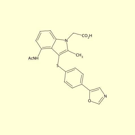 CC(=O)Nc1cccc2c1c(Sc1ccc(-c3cnco3)cc1)c(C)n2CC(=O)O